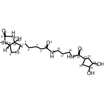 O=C(CCCC[C@@H]1SC[C@@H]2NC(=O)N[C@@H]21)NCCCNC(=O)C1CC(O)C(O)C1